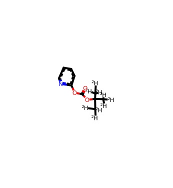 [2H]C([2H])([2H])C(OC(=O)Oc1ccccn1)(C([2H])([2H])[2H])C([2H])([2H])[2H]